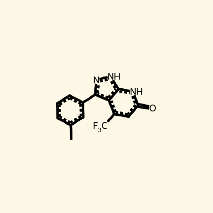 Cc1cccc(-c2n[nH]c3[nH]c(=O)cc(C(F)(F)F)c23)c1